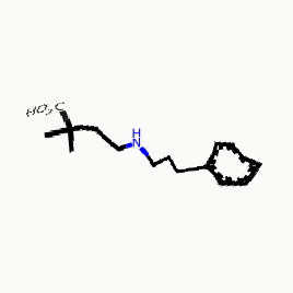 CC(C)(CCNCCCc1ccccc1)C(=O)O